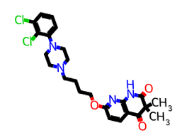 CC1(C)C(=O)Nc2nc(OCCCCN3CCN(c4cccc(Cl)c4Cl)CC3)ccc2C1=O